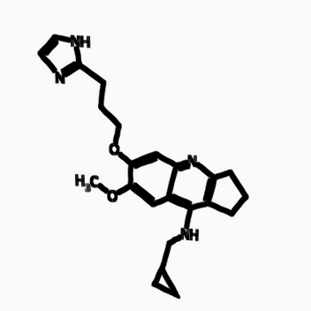 COc1cc2c(NCC3CC3)c3c(nc2cc1OCCCc1ncc[nH]1)CCC3